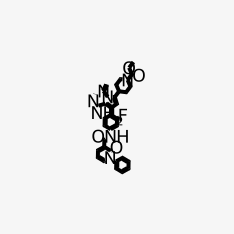 C=Nn1c(C2CCN(C(=O)OC)CC2)cc(-c2ccc(NC(=O)c3cccn(-c4ccccc4)c3=O)cc2F)c1/C(N)=N\C